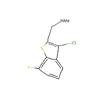 CNCc1sc2c(F)cccc2c1Cl